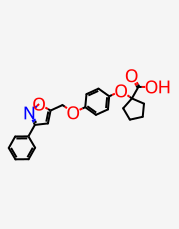 O=C(O)C1(Oc2ccc(OCc3cc(-c4ccccc4)no3)cc2)CCCC1